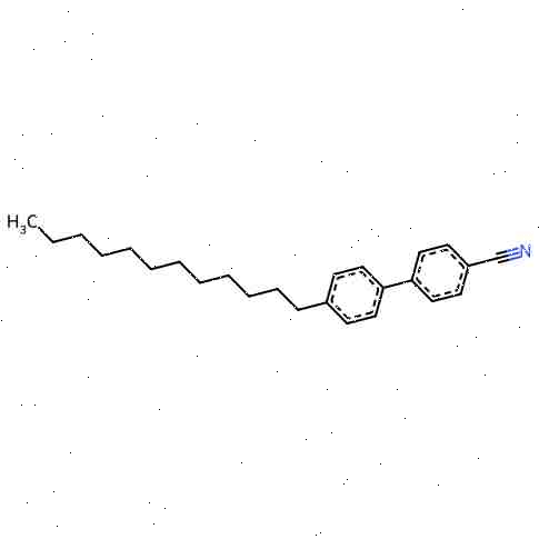 CCCCCCCCCCCCc1ccc(-c2ccc(C#N)cc2)cc1